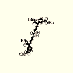 CC(C)(C)OC(=O)[C@@H](CCCCNC(=O)NCCCC[C@H](C(=O)OC(C)(C)C)[C@H]1CCN(C(=O)OC(C)(C)C)C1)[C@H]1CCN(C(=O)OC(C)(C)C)C1